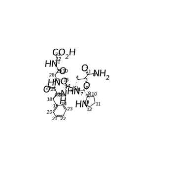 NC(=O)CC[C@H](NC(=O)[C@@H]1CCCN1)C(=O)N[C@@H](Cc1ccccc1)C(=O)NCC(=O)NCC(=O)O